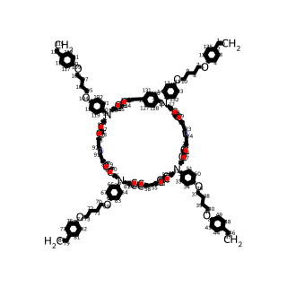 C=Cc1ccc(OCCCCOc2ccc(N3c4ccc(cc4)/C=C\c4ccc(cc4)N(c4ccc(OCCCCOc5ccc(C=C)cc5)cc4)c4ccc(cc4)-c4ccc(cc4)N(c4ccc(OCCCCOc5ccc(C=C)cc5)cc4)c4ccc(cc4)/C=C\c4ccc(cc4)N(c4ccc(OCCCCOc5ccc(C=C)cc5)cc4)c4ccc(cc4)-c4ccc3cc4)cc2)cc1